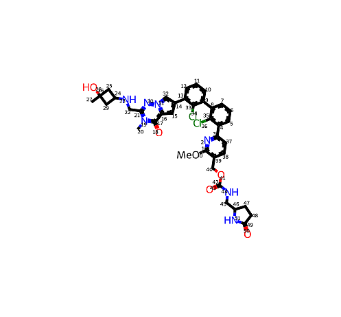 COc1nc(-c2cccc(-c3cccc(-c4cc5c(=O)n(C)c(CNC6CC(C)(O)C6)nn5c4)c3Cl)c2Cl)ccc1COC(=O)NCC1CCC(=O)N1